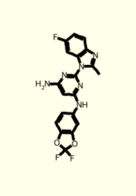 Cc1nc2ccc(F)cc2n1-c1nc(N)cc(Nc2ccc3c(c2)OC(F)(F)O3)n1